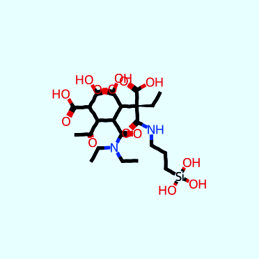 CCN(CC)C(=O)C(C(C(C)=O)C(C(=O)O)C(=O)O)C(C(=O)O)[C@](CC)(C(=O)O)C(=O)NCCC[Si](O)(O)O